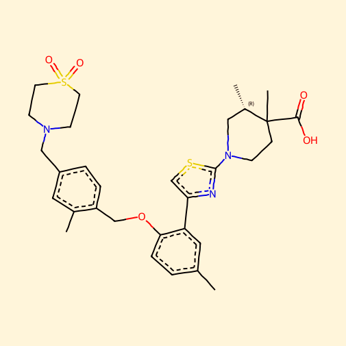 Cc1ccc(OCc2ccc(CN3CCS(=O)(=O)CC3)cc2C)c(-c2csc(N3CCC(C)(C(=O)O)[C@@H](C)C3)n2)c1